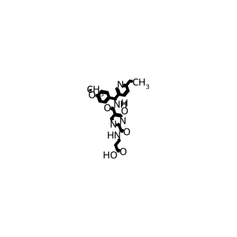 CCc1ccc(C(NC(=O)c2cnc(C(=O)NCCC(=O)O)nc2O)c2ccc(OC)cc2)cn1